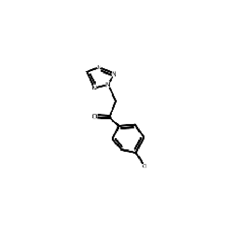 O=C(Cn1ncnn1)c1ccc(Cl)cc1